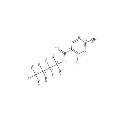 O=C(OC(F)(F)C(F)(F)C(F)(F)C(F)(F)F)c1ccc(O)cc1Cl